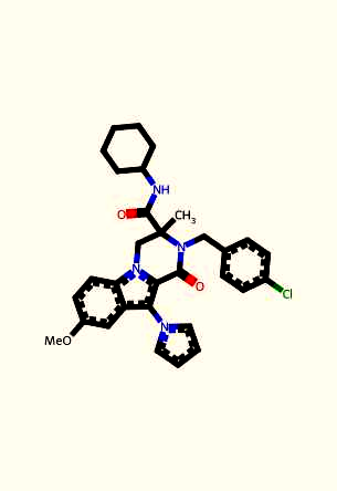 COc1ccc2c(c1)c(-n1cccc1)c1n2CC(C)(C(=O)NC2CCCCC2)N(Cc2ccc(Cl)cc2)C1=O